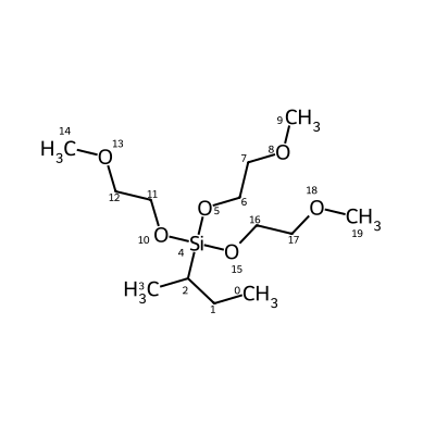 CCC(C)[Si](OCCOC)(OCCOC)OCCOC